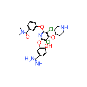 CN(C)C(=O)c1cccc(Oc2nc(Oc3cc(C(=N)N)ccc3O)c(Cl)c(OC3CCNCC3)c2Cl)c1